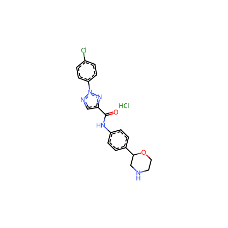 Cl.O=C(Nc1ccc(C2CNCCO2)cc1)c1cnn(-c2ccc(Cl)cc2)n1